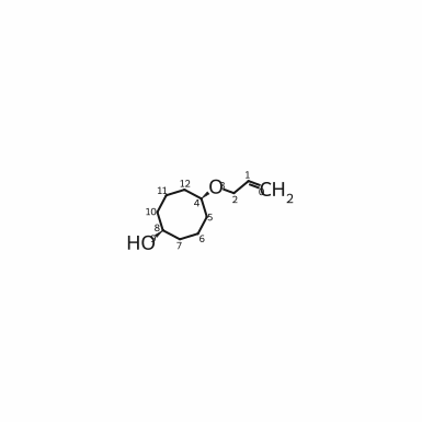 C=CCO[C@H]1CCC[C@@H](O)CCC1